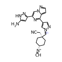 C#[N+][C@H]1CC[C@@](/C=[N+]2\C=C(c3nc(-c4cc(N)[nH]n4)cn4nccc34)C=N2)(CC#N)CC1